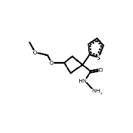 COCOC1CC(C(=O)NN)(c2cccs2)C1